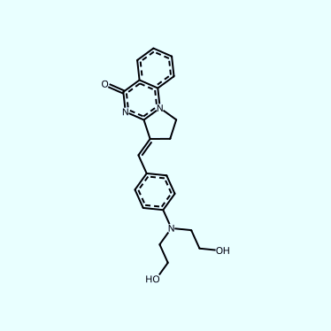 O=c1nc2n(c3ccccc13)CC/C2=C\c1ccc(N(CCO)CCO)cc1